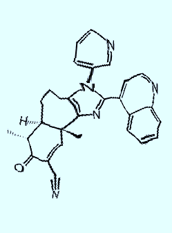 C[C@H]1C(=O)C(C#N)=C[C@@]2(C)c3nc(-c4ccnc5ccccc45)n(-c4cccnc4)c3CC[C@H]12